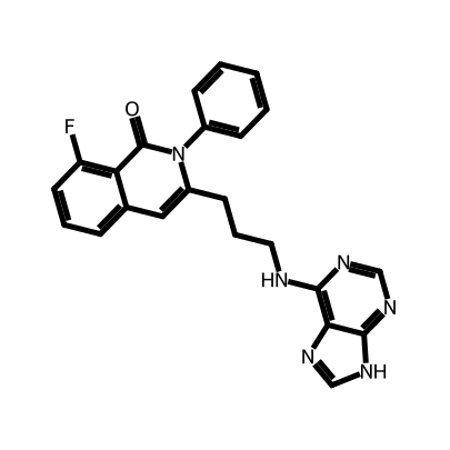 O=c1c2c(F)cccc2cc(CCCNc2ncnc3[nH]cnc23)n1-c1ccccc1